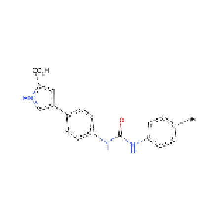 CC(C)c1ccc(NC(=O)Nc2ccc(-c3c[nH]c(C(=O)O)c3)cc2)cc1